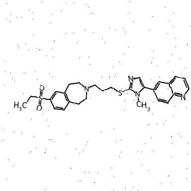 CCS(=O)(=O)c1ccc2c(c1)CCN(CCCSc1ncc(-c3ccc4ncccc4c3)n1C)CC2